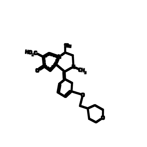 CN1CC(C(C)(C)C)n2cc(C(=O)O)c(=O)cc2/C1=C1\C=CC=C(OCC2CCOCC2)C1